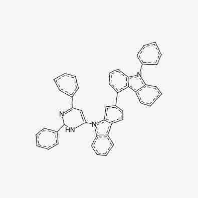 C1=C(n2c3ccccc3c3ccc(-c4cccc5c4c4ccccc4n5-c4ccccc4)cc32)NC(c2ccccc2)N=C1c1ccccc1